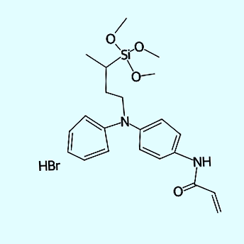 Br.C=CC(=O)Nc1ccc(N(CCC(C)[Si](OC)(OC)OC)c2ccccc2)cc1